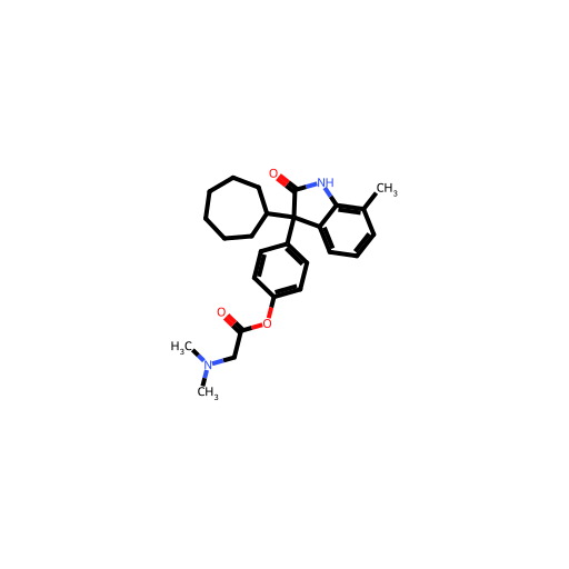 Cc1cccc2c1NC(=O)C2(c1ccc(OC(=O)CN(C)C)cc1)C1CCCCCC1